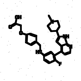 CN1CCC(c2cc3c(-c4cc(NCc5ccc(OCC(=O)O)cc5)ccc4F)ccnc3[nH]2)CC1